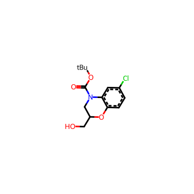 CC(C)(C)OC(=O)N1CC(CO)Oc2ccc(Cl)cc21